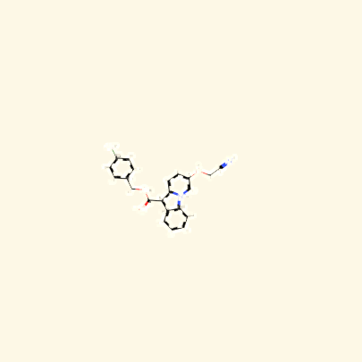 N#CCOc1ccc2c(C(=O)OCc3ccc(Cl)cc3)c3ccccc3n2c1